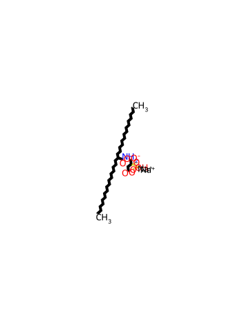 CCCCCCCCCCCCCCCCCCC(CCCCCCCCCCCCCCCC)C(N)=O.O=C([O-])CC(C(=O)[O-])S(=O)(=O)O.[Na+].[Na+]